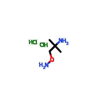 CC(C)(N)CON.Cl.Cl